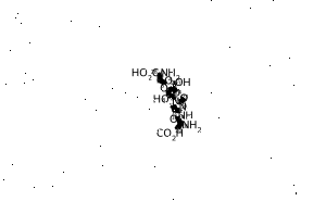 N[C@@H](CC(=O)OC1C(O)[C@H](n2ccc(NC(=O)[C@@H](N)CC(=O)O)nc2=O)O[C@@H]1CO)C(=O)O